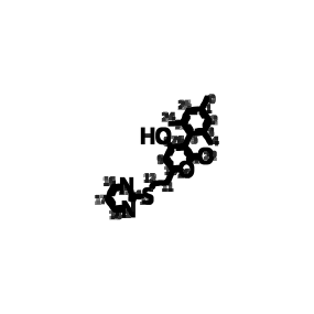 Cc1cc(C)c(-c2c(O)cc(CCSc3ncccn3)oc2=O)c(C)c1